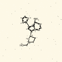 Nc1ncnn2c([C@H]3CC[C@@H](CO)O3)cc(-c3nccs3)c12